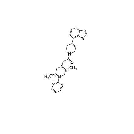 C[C@@H]1CN(c2ncccn2)[C@@H](C)CN1CC(=O)N1CC=C(c2cccc3ccsc23)CC1